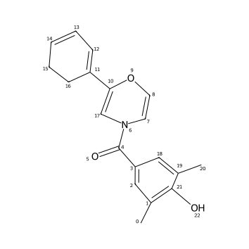 Cc1cc(C(=O)N2C=COC(C3=CC=CCC3)=C2)cc(C)c1O